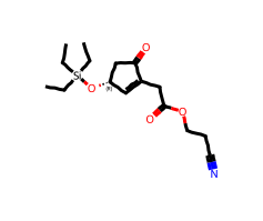 CC[Si](CC)(CC)O[C@H]1C=C(CC(=O)OCCC#N)C(=O)C1